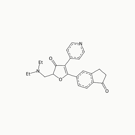 CCN(CC)CC1OC(c2ccc3c(c2)CCC3=O)=C(c2ccncc2)C1=O